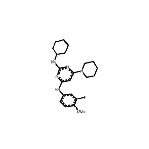 COc1ccc(Nc2cc(N3CCCCC3)nc(NC3CCCCC3)n2)cc1F